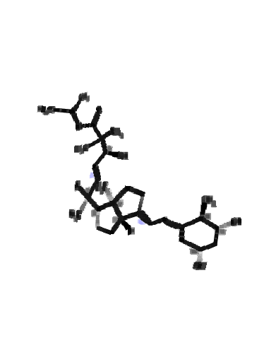 CC(C)OC(=O)C(C)(C)[C@@H](O)/C=C/[C@](C)(F)[C@H]1CC[C@H]2/C(=C/C=C3C[C@@H](O)C[C@@H](O)[C@@H]3C)CC[C@@]21C